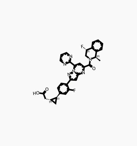 C[C@@H]1c2ccccc2[C@@H](F)CN1C(=O)c1cc(-c2ncccn2)n2nc(-c3ccc([C@H]4C[C@@H]4CC(=O)O)cc3F)cc2n1